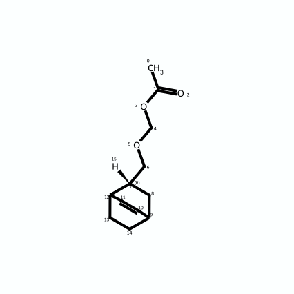 CC(=O)OCOC[C@@H]1CC2C=CC1CC2